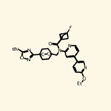 CCOc1ccc(-c2ccnc(N(CC34CCC(c5noc(C(C)(C)C)n5)(CC3)CC4)C(=O)C34CC(F)(C3)C4)c2)cn1